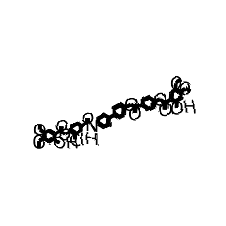 COc1cc(O)c(C(=O)Oc2ccc(C(=O)Oc3ccc(-c4ccc(NC(=O)c5ccc(OC(=O)c6cc(OC)c(OC)cc6O)c(Cl)c5)cc4)cc3)cc2)cc1OC